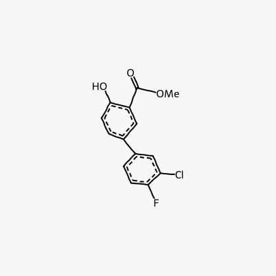 COC(=O)c1cc(-c2ccc(F)c(Cl)c2)ccc1O